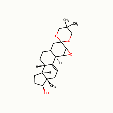 CC1(C)COC2(CC3CC[C@@H]4C(=CC[C@]5(C)[C@@H](O)CC[C@@H]45)[C@@H]3C3OC32)OC1